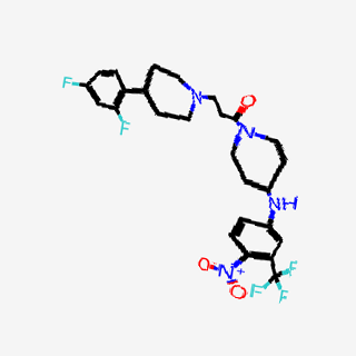 O=C(CCN1CCC(c2ccc(F)cc2F)CC1)N1CCC(Nc2ccc([N+](=O)[O-])c(C(F)(F)F)c2)CC1